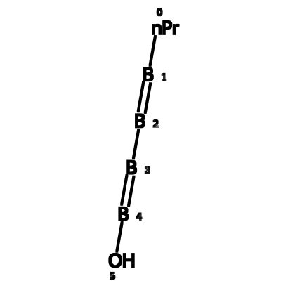 CCCB=BB=BO